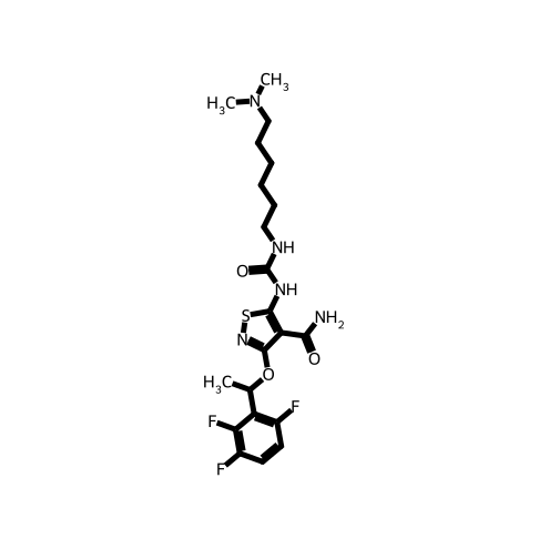 CC(Oc1nsc(NC(=O)NCCCCCCN(C)C)c1C(N)=O)c1c(F)ccc(F)c1F